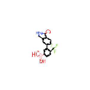 O=C1NCc2cc(-c3cc(B(O)O)ccc3C(F)(F)F)ccc21